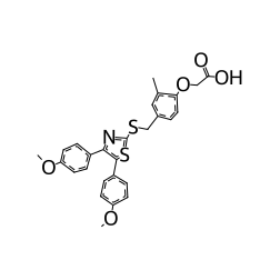 COc1ccc(-c2nc(SCc3ccc(OCC(=O)O)c(C)c3)sc2-c2ccc(OC)cc2)cc1